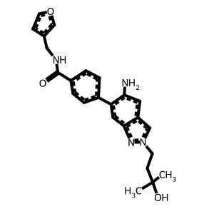 CC(C)(O)CCn1cc2cc(N)c(-c3ccc(C(=O)NCc4ccoc4)cc3)cc2n1